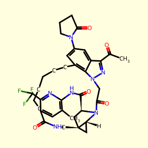 CC(=O)c1nn2c3c(cc(N4CCCC4=O)cc13)CCCCCCC(=O)NC[C@@]13C[C@@H](C(=O)Nc4nc(C(F)(F)F)ccc4C)N(C(=O)C2)[C@@H]1C3